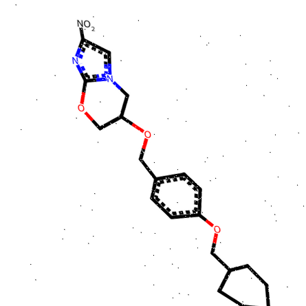 O=[N+]([O-])c1cn2c(n1)OCC(OCc1ccc(OCC3CCCCC3)cc1)C2